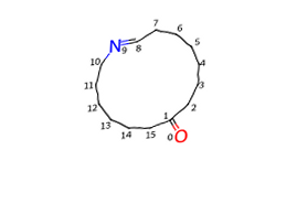 O=C1CCCCCC/C=N/CCCCCC1